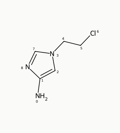 Nc1cn(CCCl)cn1